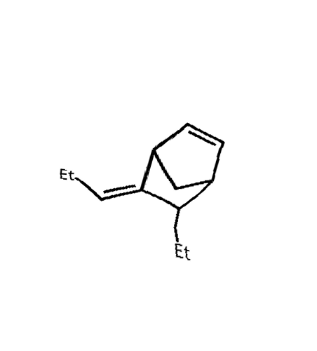 CCC=C1C2C=CC(C2)C1CC